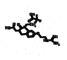 CCN1C(=O)C(CC(=O)O)Cc2ccc(OCCNC(=N)N)cc21.O=C(O)C(F)(F)F